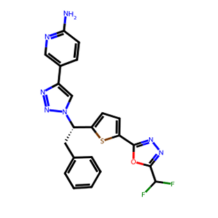 Nc1ccc(-c2cn([C@@H](Cc3ccccc3)c3ccc(-c4nnc(C(F)F)o4)s3)nn2)cn1